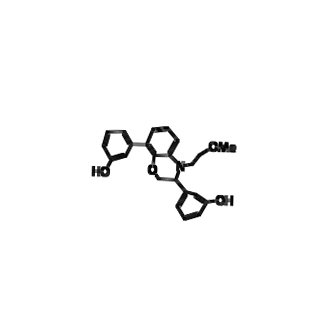 COCCN1c2cccc(-c3cccc(O)c3)c2OCC1c1cccc(O)c1